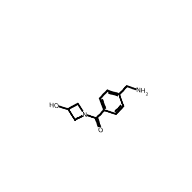 NCc1ccc(C(=O)N2CC(O)C2)cc1